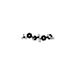 O=C(Nc1ccc(C2CNCCO2)cc1)c1cnn(-c2cccc(OC(F)F)c2)c1